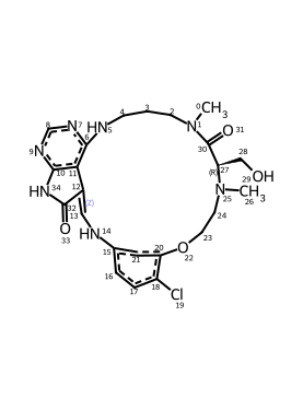 CN1CCCNc2ncnc3c2/C(=C/Nc2ccc(Cl)c(c2)OCCN(C)[C@H](CO)C1=O)C(=O)N3